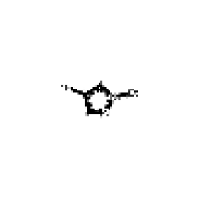 CCn1cc(F)cn1